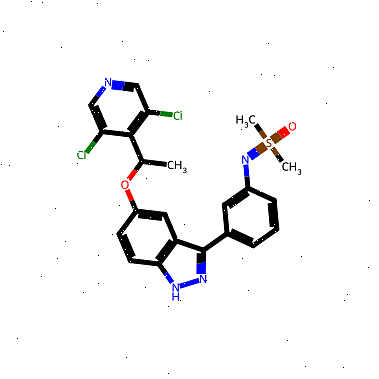 CC(Oc1ccc2[nH]nc(-c3cccc(N=S(C)(C)=O)c3)c2c1)c1c(Cl)cncc1Cl